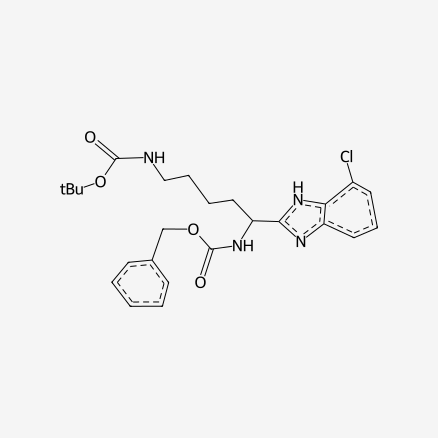 CC(C)(C)OC(=O)NCCCCC(NC(=O)OCc1ccccc1)c1nc2cccc(Cl)c2[nH]1